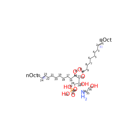 CCCCCCCC/C=C/CCCCCCCC(=O)OC(C(=O)CCCCCCC/C=C/CCCCCCCC)C(O)COP(=O)(O)O.NCCO